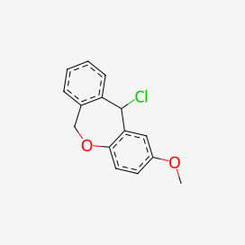 COc1ccc2c(c1)C(Cl)c1ccccc1CO2